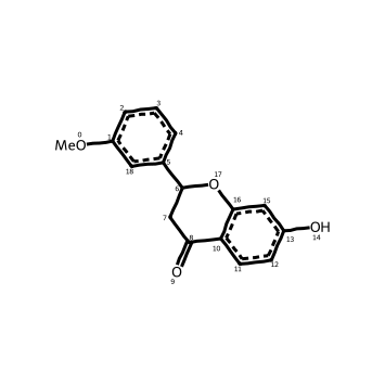 COc1cccc(C2CC(=O)c3ccc(O)cc3O2)c1